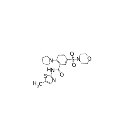 Cc1cnc(NC(=O)c2cc(S(=O)(=O)N3CCOCC3)ccc2N2CCCC2)s1